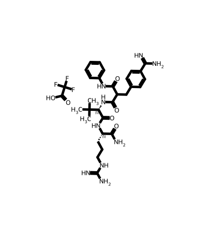 CC(C)(C)[C@H](NC(=O)C(Cc1ccc(C(=N)N)cc1)C(=O)Nc1ccccc1)C(=O)N[C@@H](CCCNC(=N)N)C(N)=O.O=C(O)C(F)(F)F